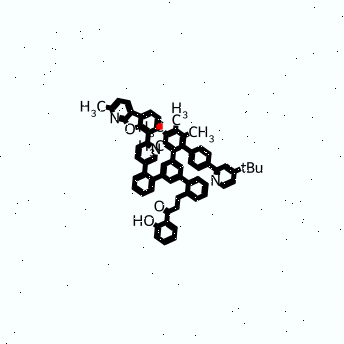 Cc1ccc2c(n1)oc1c(-c3ccc(-c4ccccc4-c4cc(-c5ccccc5CCC(=O)c5ccccc5O)cc(-c5c(C)c(C)c(C)c(C)c5-c5ccc(-c6cc(C(C)(C)C)ccn6)cc5)c4)cn3)cccc12